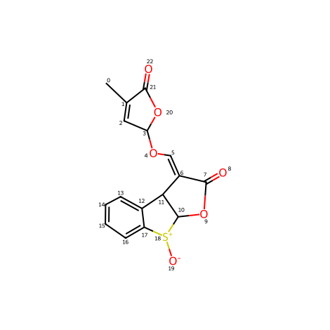 CC1=CC(O/C=C2/C(=O)OC3C2c2ccccc2[S+]3[O-])OC1=O